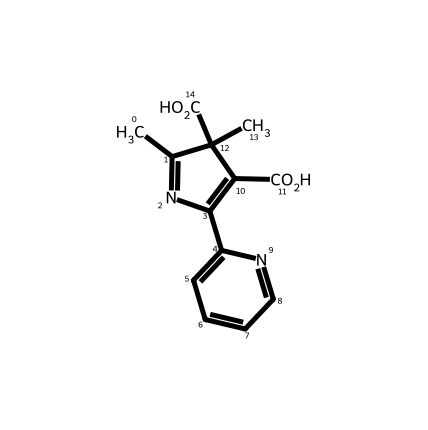 CC1=NC(c2ccccn2)=C(C(=O)O)C1(C)C(=O)O